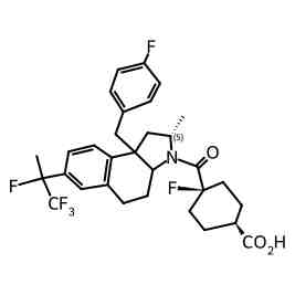 C[C@H]1CC2(Cc3ccc(F)cc3)c3ccc(C(C)(F)C(F)(F)F)cc3CCC2N1C(=O)[C@]1(F)CC[C@@H](C(=O)O)CC1